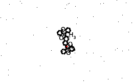 C[Si]12c3ccccc3Oc3cccc(c31)Oc1c2ccc2c3c(ccc12)[Si]1(C)c2ccccc2Oc2cccc(c21)O3